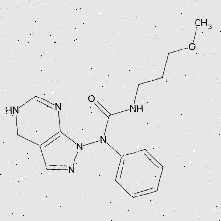 COCCCNC(=O)N(c1ccccc1)n1ncc2c1N=CNC2